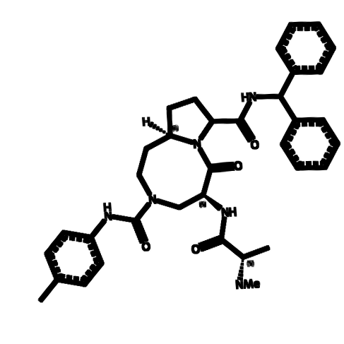 CN[C@@H](C)C(=O)N[C@H]1CN(C(=O)Nc2ccc(C)cc2)CC[C@H]2CCC(C(=O)NC(c3ccccc3)c3ccccc3)N2C1=O